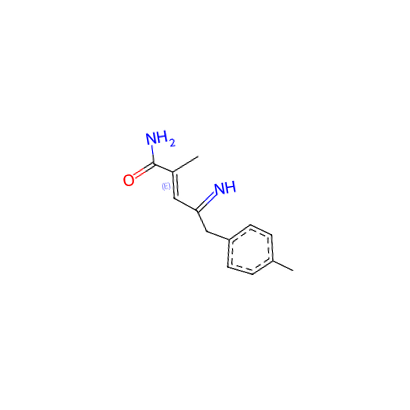 C/C(=C\C(=N)Cc1ccc(C)cc1)C(N)=O